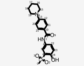 CS(=O)(=O)c1cc(NC(=O)c2ccc(N3CCCCC3)cc2)ccc1O